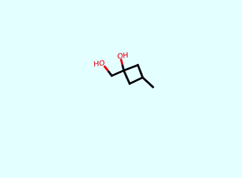 CC1CC(O)(CO)C1